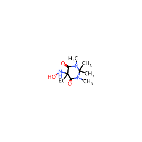 CCC1(NO)C(=O)N(C)C(C)(C)N(C)C1=O